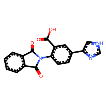 O=C(O)c1cc(-c2c[nH]cn2)ccc1N1C(=O)c2ccccc2C1=O